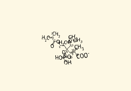 C=C(C)C(=O)OCCC(C=C(C)C(=O)[O-])(C[N+](C)(C)C)OP(=O)(O)O